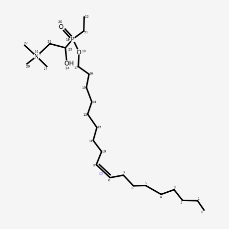 CCCCCCCC/C=C\CCCCCCCCOP(=O)(CC)C(O)C[N+](C)(C)C